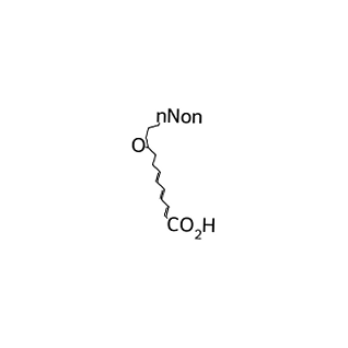 CCCCCCCCCCCC1OC1CCC=CC=CC=CC(=O)O